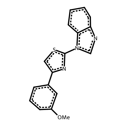 COc1cccc(-c2csc(-n3cnc4ccccc43)n2)c1